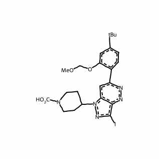 COCOc1cc(C(C)(C)C)ccc1-c1cc2c(nn1)c(I)nn2C1CCN(C(=O)O)CC1